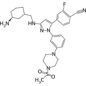 CS(=O)(=O)N1CCN(c2cccc(-n3nc(NCC4CCC[C@H](N)C4)cc3-c3ccc(C#N)c(F)c3)c2)CC1